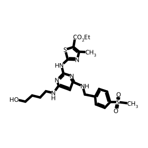 CCOC(=O)c1sc(Nc2nc(NCCCCO)cc(NCc3ccc(S(C)(=O)=O)cc3)n2)nc1C